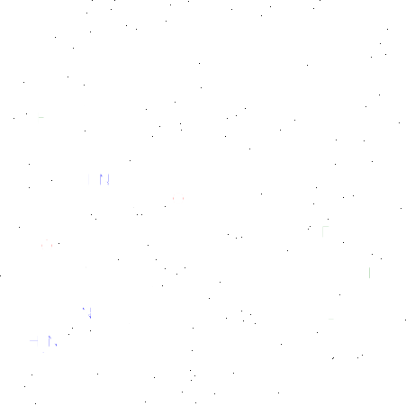 NN1CC(c2ccc(C(F)(F)F)cc2)C(C(=O)Nc2ccccc2F)C1=O